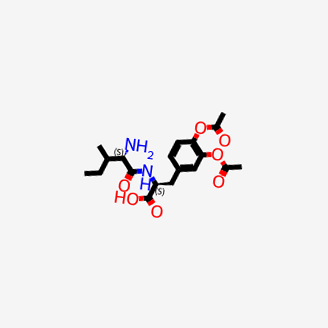 CCC(C)[C@H](N)C(=O)N[C@@H](Cc1ccc(OC(C)=O)c(OC(C)=O)c1)C(=O)O